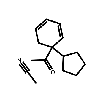 CC#N.CC(=O)C1(C2CCCC2)C=CC=CC1